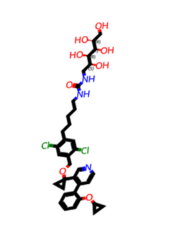 O=C(NCCCCCc1cc(Cl)c(COC2(c3cnccc3-c3ccccc3OC3CC3)CC2)cc1Cl)NC[C@H](O)[C@@H](O)[C@H](O)[C@H](O)CO